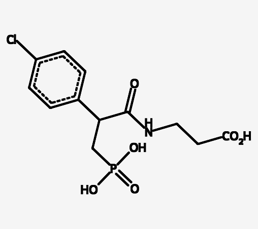 O=C(O)CCNC(=O)C(CP(=O)(O)O)c1ccc(Cl)cc1